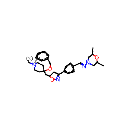 CC1CN(N=Cc2ccc(C3=NOC(CC4(OCc5ccccc5)CCN(CC(=O)O)CC4)C3)cc2)CC(C)O1